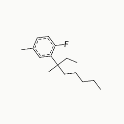 CCCCCC(C)(CC)c1cc(C)ccc1F